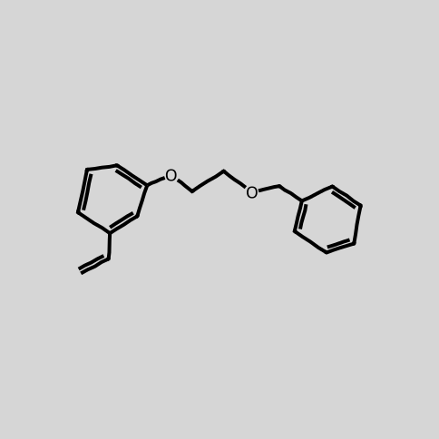 C=Cc1cccc(OCCOCc2ccccc2)c1